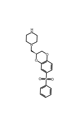 O=S(=O)(c1ccccc1)c1ccc2c(c1)O[C@@H](CN1CCNCC1)CO2